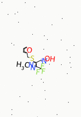 Cn1nc(C(F)(F)F)c(/C=N/O)c1SCc1ccco1